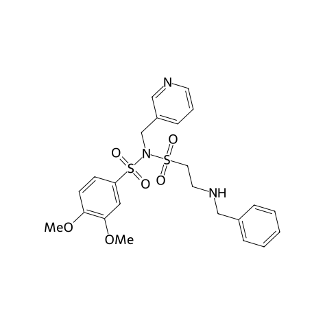 COc1ccc(S(=O)(=O)N(Cc2cccnc2)S(=O)(=O)CCNCc2ccccc2)cc1OC